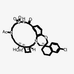 CC(=O)N1CC[C@H](O)[C@@H]2CC[C@H]2CN2C[C@@]3(CCCc4cc(Cl)ccc43)COc3ccc(cc32)C(=O)NS(=O)(=O)CC1